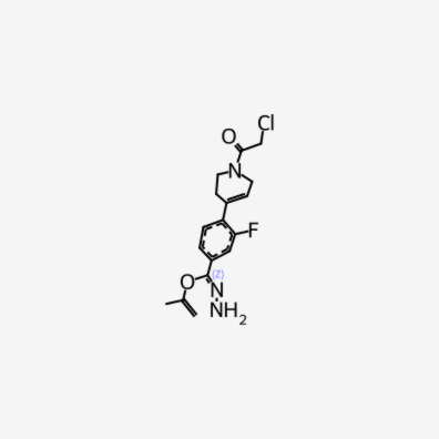 C=C(C)O/C(=N\N)c1ccc(C2=CCN(C(=O)CCl)CC2)c(F)c1